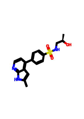 Cc1cc2c(-c3ccc(S(=O)(=O)NC[C@@H](C)O)cc3)ccnc2[nH]1